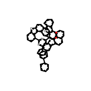 c1ccc(-c2ccc(-c3nc(-c4cccc5c4oc4ccccc45)nc(-c4cccc5oc6ccc7ccc(-n8c9cc%10ccccc%10cc9c9ccc%10ccccc%10c98)cc7c6c45)n3)cc2)cc1